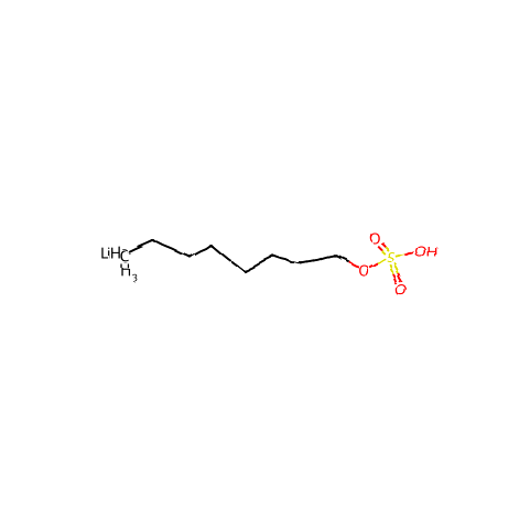 CCCCCCCCOS(=O)(=O)O.[LiH]